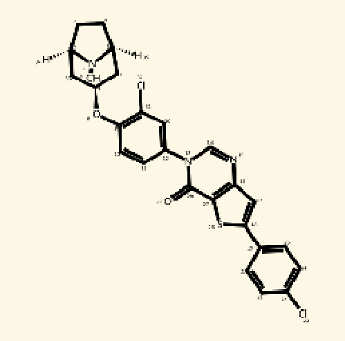 CN1[C@@H]2CC[C@H]1C[C@@H](Oc1ccc(-n3cnc4cc(-c5ccc(Cl)cc5)sc4c3=O)cc1Cl)C2